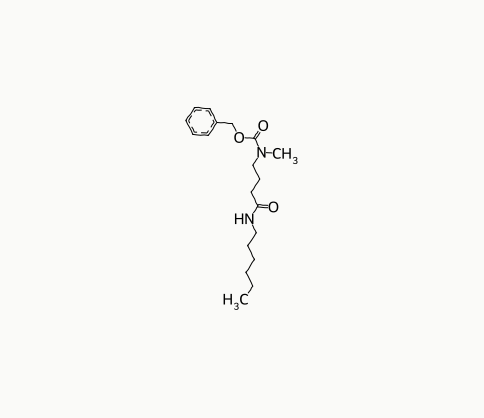 CCCCCCNC(=O)CCCN(C)C(=O)OCc1ccccc1